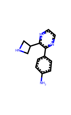 Nc1ccc(-c2nccnc2C2CNC2)cc1